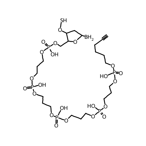 BC1CC(OS)C(COP(=O)(O)OCCCOP(=O)(O)OCCCOP(=O)(O)OCCCOP(=O)(O)OCCCOP(=O)(O)OCCCCC#C)O1